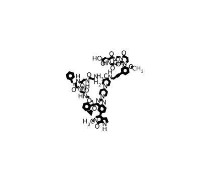 COc1ccc(C#CCNC2(C)CCN(C3CCN(c4nc([C@@](COCNC(=O)CNC(=O)[C@H](Cc5ccccc5)NC(=O)CNC(=O)CN)(OC5CC5)c5ccccc5)c5cc(-c6cn(C)c(=O)c7[nH]ccc67)ccc5n4)CC3)CC2)cc1N1CCC(=O)N(CNC(=O)[C@H](CC(=O)O)NC(C)=O)C1=O